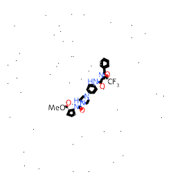 COC(=O)[C@H]1CCC[C@H]1NC(=O)N1CCN(c2ccc(NC(=O)c3nc(-c4ccccc4)oc3C(F)(F)F)cc2)CC1